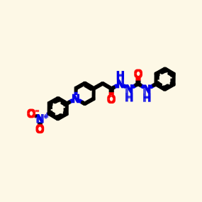 O=C(CC1=CCN(c2ccc([N+](=O)[O-])cc2)CC1)NNC(=O)Nc1ccccc1